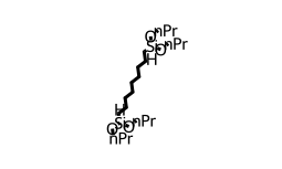 CCCO[SiH](CCCCCCCCC[SiH](OCCC)OCCC)OCCC